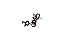 Fc1ccc(N2CCCn3nc(N[C@@H]4[C@@H]5CC[C@H]4CN(c4ccnc(C(F)(F)F)c4)C5)nc32)cc1F